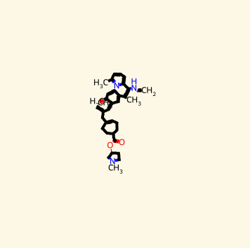 C=CN/C(=C(\C)c1ccc(=C)/c(=C\C(=C/C)CC2=CCCC(C(=O)O[C@@H]3CCN(C)C3)CC2)c1)c1cccc(C)n1